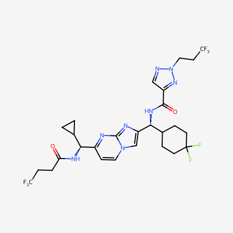 O=C(CCC(F)(F)F)N[C@H](c1ccn2cc([C@@H](NC(=O)c3cnn(CCC(F)(F)F)n3)C3CCC(F)(F)CC3)nc2n1)C1CC1